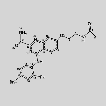 CC(=O)NCCOc1[c]cc2c(Nc3ccc(Br)cc3F)nc(C(N)=O)nc2c1